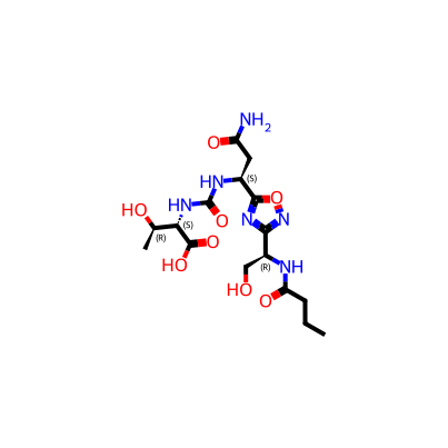 CCCC(=O)N[C@@H](CO)c1noc([C@H](CC(N)=O)NC(=O)N[C@H](C(=O)O)[C@@H](C)O)n1